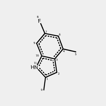 Cc1cc2c(C)cc(F)cc2[nH]1